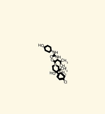 CC(C)[C@@H](NC(=O)N[C@H]1CC[C@@H](O)CC1)C(=O)N1CC[C@](O)(c2ccc(Cl)cc2)C(C)(C)C1